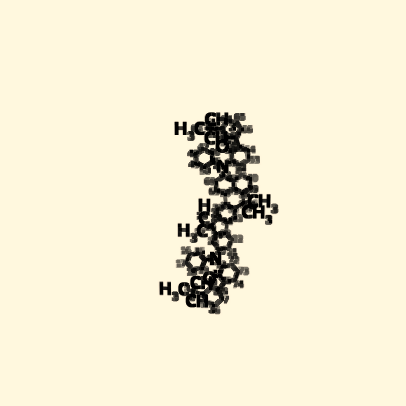 CC(C)(C)c1cccc2c1oc1c(N(c3ccccc3)c3ccc4c(c3)C(C)(C)c3cc5c(cc3-4)C(C)(C)c3cccc4c(N(c6ccccc6)c6cccc7c6oc6c(C(C)(C)C)cccc67)ccc-5c34)cccc12